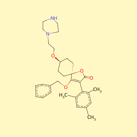 Cc1cc(C)c(C2=C(OCc3ccccc3)[C@]3(CC[C@H](OCCN4CCNCC4)CC3)OC2=O)c(C)c1